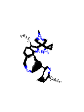 COc1ccc(-c2cc3c(cn2)CCc2c-3[nH]c(C3(C4(N)CC4)CN(C)C3)c2C(=O)O)cn1